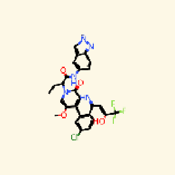 CCC(C(=O)Nc1ccc2nn(C)cc2c1)n1cc(OC)c(-c2cc(Cl)ccc2C(=N)/C=C(\O)C(F)(F)F)cc1=O